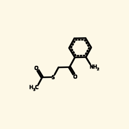 CC(=O)SCC(=O)c1ccccc1N